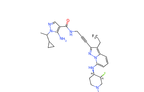 CC(C1CC1)n1ncc(C(=O)NCC#Cc2nn3c(N[C@@H]4CCN(C)C[C@@H]4F)cccc3c2CC(F)(F)F)c1N